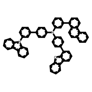 c1cc(-c2cccc3c2ccc2ccccc23)cc(N(c2ccc(-c3cccc(-n4c5ccccc5c5ccccc54)c3)cc2)c2ccc(-c3cccc4c3oc3ccccc34)cc2)c1